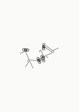 CCCCCCCCC1C(CCCCCC)CCC(CCCCCCCCC(C)(CCCCCC)N2C(=O)C=CC2=O)C1CCCCCCCCN1C(=O)c2cc3c(cc2C1=O)C(=O)N(C(C)(CCCCCCC(C)C(C)C)CC(CCC)CCCCCCC1CCC(CCCCCC)C(CCCCCCCC)C1CCCCCCCCN1C(=O)C=CC1=O)CC3=O